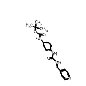 CC(C)(C)OC(=O)NC1CCC(NC(=O)NCc2ccncc2)CC1